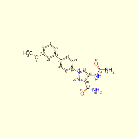 COc1cccc(-c2ccc(-n3cc(NC(N)=O)c(C(N)=O)n3)cc2)c1